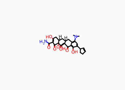 CN(C)c1cc(C2C=CCC2)c(O)c2c1C[C@H]1C[C@H]3CC(O)=C(C(N)=O)C(=O)[C@@]3(O)C(O)=C1C2=O